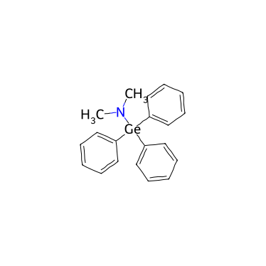 C[N](C)[Ge]([c]1ccccc1)([c]1ccccc1)[c]1ccccc1